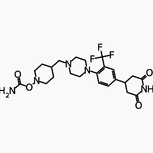 NC(=O)ON1CCC(CN2CCN(c3ccc(C4CC(=O)NC(=O)C4)cc3C(F)(F)F)CC2)CC1